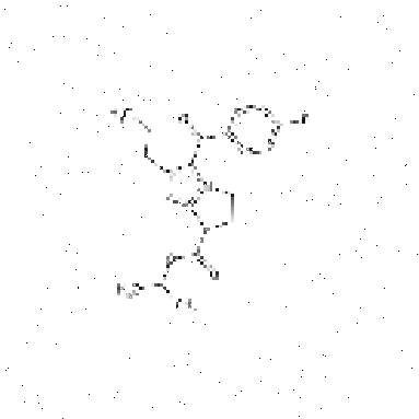 CCCc1cc2n(c1C(=O)c1ccc(F)cc1)CCC2C(=O)OC(C)C